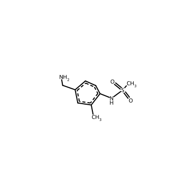 Cc1cc(CN)ccc1NS(C)(=O)=O